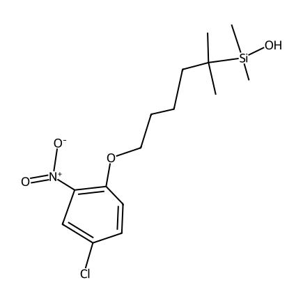 CC(C)(CCCCOc1ccc(Cl)cc1[N+](=O)[O-])[Si](C)(C)O